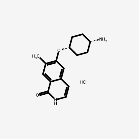 Cc1cc2c(=O)[nH]ccc2cc1O[C@H]1CC[C@@H](N)CC1.Cl